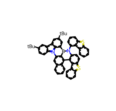 CC(C)(C)c1ccc2c(c1)c1cc(C(C)(C)C)cc3c1n2-c1cc2ccccc2c2c1B3N(c1cccc3sc4ccccc4c13)c1ccc3sc4ccccc4c3c1-2